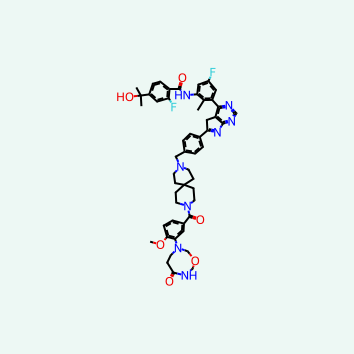 COc1ccc(C(=O)N2CCC3(CCN(Cc4ccc(C5=Nc6ncnc(-c7cc(F)cc(NC(=O)c8ccc(C(C)(C)O)cc8F)c7C)c6C5)cc4)CC3)CC2)cc1N1CCC(=O)NCOC1